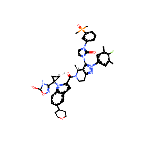 Cc1cc(-n2nc3c(c2-n2ccn(-c4cccc(P(C)(C)=O)c4)c2=O)[C@H](C)N(C(=O)c2cc4cc(C5CCOCC5)ccc4n2[C@@]2(C4=NOC(O)N4)C[C@@H]2C)CC3)cc(C)c1F